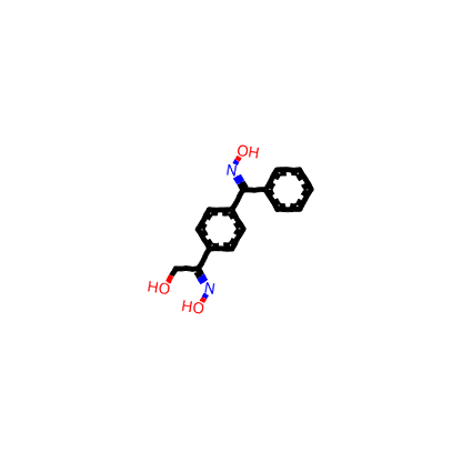 OCC(=NO)c1ccc(C(=NO)c2ccccc2)cc1